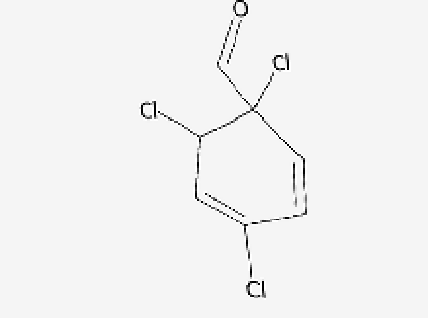 O=CC1(Cl)C=CC(Cl)=CC1Cl